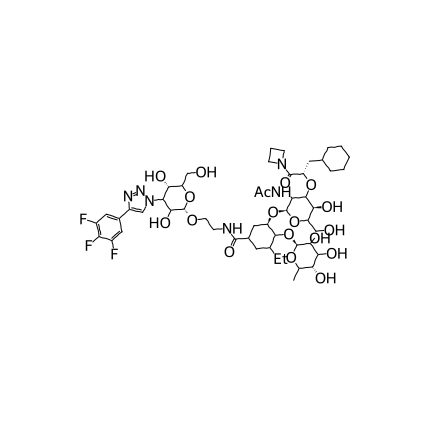 CCC1CC(C(=O)NCCO[C@H]2OC(CO)[C@@H](O)C(n3cc(-c4cc(F)c(F)c(F)c4)nn3)C2O)C[C@@H](O[C@@H]2OC(CO)[C@H](O)C(O[C@@H](CC3CCCCC3)C(=O)N3CCC3)C2NC(C)=O)C1O[C@@H]1OC(C)[C@@H](O)C(O)C1O